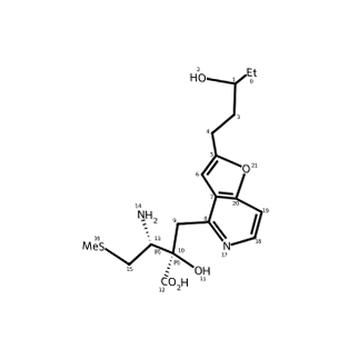 CCC(O)CCc1cc2c(C[C@](O)(C(=O)O)[C@@H](N)CSC)nccc2o1